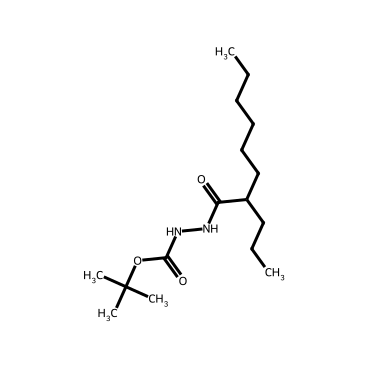 CCCCCCC(CCC)C(=O)NNC(=O)OC(C)(C)C